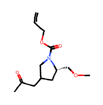 C=CCOC(=O)N1CC(CC(C)=O)C[C@H]1COC